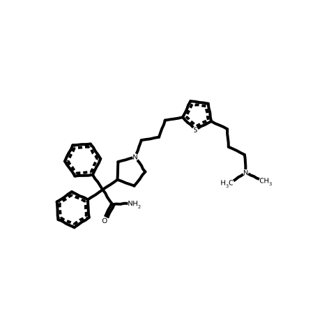 CN(C)CCCc1ccc(CCCN2CCC(C(C(N)=O)(c3ccccc3)c3ccccc3)C2)s1